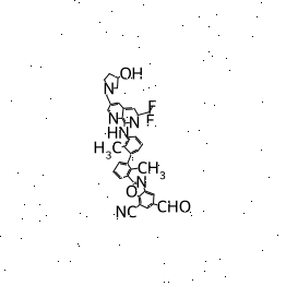 Cc1c(Nc2nc(C(F)F)cc3cc(CN4CCC(O)C4)cnc23)cccc1-c1cccc(-c2nc3cc(C=O)cc(C#N)c3o2)c1C